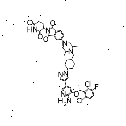 CC1CN(c2ccc3c(c2)C(=O)N(C2CCC(=O)NC2=O)C3=O)CC(C)N1CC1CCC(n2cc(-c3cnc(N)c(O[C@H](C)c4c(Cl)ccc(F)c4Cl)c3)cn2)CC1